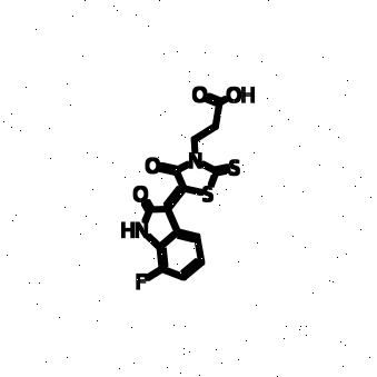 O=C(O)CCN1C(=O)/C(=C2\C(=O)Nc3c(F)cccc32)SC1=S